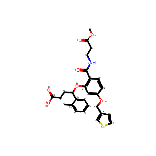 COC(=O)CCNC(=O)c1ccc(OCc2ccsc2)cc1OC(CCC(=O)O)c1ccccc1C